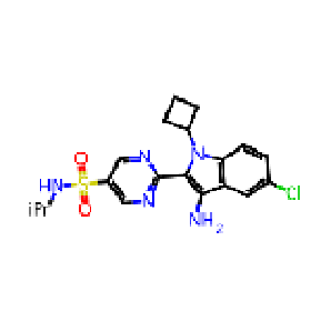 CC(C)NS(=O)(=O)c1cnc(-c2c(N)c3cc(Cl)ccc3n2C2CCC2)nc1